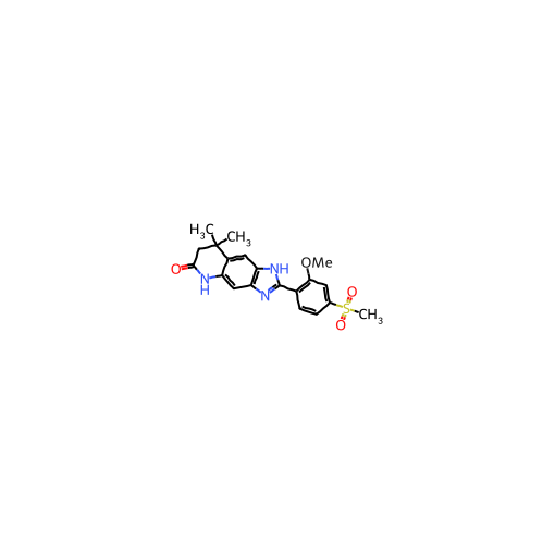 COc1cc(S(C)(=O)=O)ccc1-c1nc2cc3c(cc2[nH]1)C(C)(C)CC(=O)N3